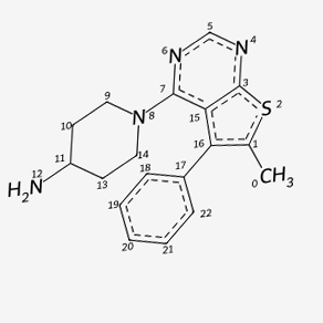 Cc1sc2ncnc(N3CCC(N)CC3)c2c1-c1ccccc1